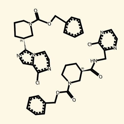 O=C(NCc1nccnc1Cl)[C@@H]1CCCN(C(=O)OCc2ccccc2)C1.O=C(OCc1ccccc1)N1CCC[C@@H](c2ncc3c(Cl)nccn23)C1